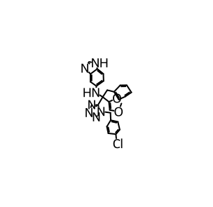 Clc1ccc(Cn2nnnc2C(Cc2ccccc2)(Nc2ccc3[nH]cnc3c2)C2=COCO2)cc1